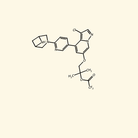 CC(C)(COc1cc(-c2ccc(N3CC4CC(C3)N4)nc2)c2c(Cl)cnn2c1)OC(=O)C(F)(F)F